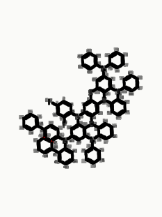 Fc1ccc(N2c3cc4c(cc3B3c5ccccc5N(c5ccccc5)c5cc(N(c6ccc(-c7ccccc7)cc6)c6ccccc6-c6ccccc6)cc2c53)B2c3ccccc3N(c3ccccc3)c3cc(N(c5ccccc5)c5ccccc5)cc(c32)S4)c(F)c1